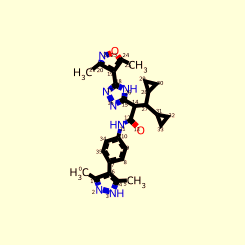 Cc1n[nH]c(C)c1-c1ccc(NC(=O)C(c2nnc(-c3c(C)noc3C)[nH]2)C(C2CC2)C2CC2)cc1